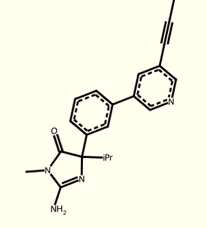 CC#Cc1cncc(-c2cccc(C3(C(C)C)N=C(N)N(C)C3=O)c2)c1